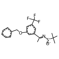 CC(=N[S@+]([O-])C(C)(C)C)c1cc(OCc2ccccc2)cc(C(F)(F)F)c1